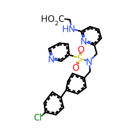 O=C(O)CNc1cccc(CN(Cc2ccc(-c3ccc(Cl)cc3)cc2)S(=O)(=O)c2cccnc2)n1